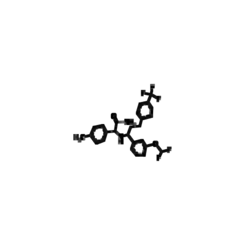 Cc1ccc(C(NC(CCc2ccc(C(F)(F)F)cc2)c2cccc(OC(F)F)c2)C(N)=O)cc1